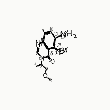 COCC(C)n1cnc2ccc(N)c(Br)c2c1=O